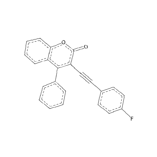 O=c1oc2ccccc2c(-c2ccccc2)c1C#Cc1ccc(F)cc1